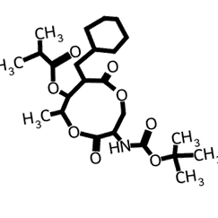 CC(C)C(=O)OC1C(C)OC(=O)C(NC(=O)OC(C)(C)C)COC(=O)C1CC1CCCCC1